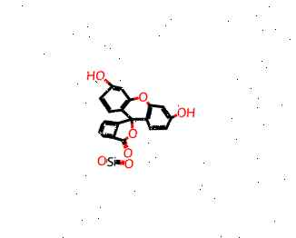 O=C1OC2(c3ccc(O)cc3Oc3cc(O)ccc32)c2ccccc21.O=[Si]=O